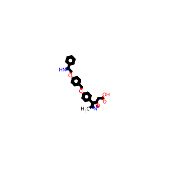 Cc1noc(CC(=O)O)c1-c1ccc(OCc2ccc(OCC(=N)c3ccccc3)cc2)cc1